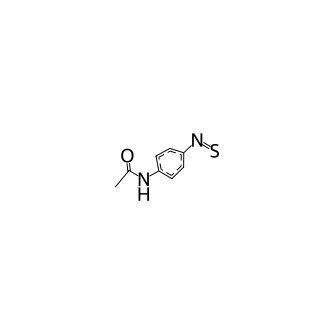 CC(=O)Nc1ccc(N=S)cc1